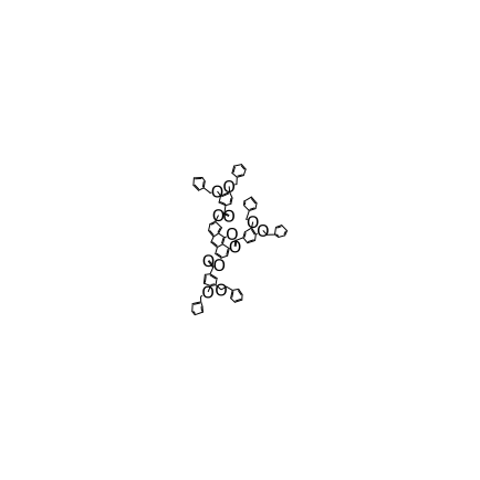 O=C(Oc1ccc2c(OC(=O)c3ccc(OCc4ccccc4)c(OCc4ccccc4)c3)c3cc(OC(=O)c4ccc(OCc5ccccc5)c(OCc5ccccc5)c4)ccc3cc2c1)c1ccc(OCc2ccccc2)c(OCc2ccccc2)c1